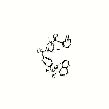 CC1CN(C(=O)c2ccc(NS(=O)(=O)C3C=CC=C4C=CC=NC43)cc2)CC(C)N1C(=O)c1ccccn1